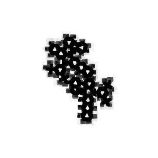 CC(C)(C)c1cc(N2c3cc4cc5ccccc5cc4cc3B3c4c(cccc42)-c2ccc(CC(C)(C)c4cc(N5c6cc7cc8ccccc8cc7cc6B6c7c5cc5ccccc5c7-c5cccc7c8ccccc8n6c57)cc(C(C)(C)C)c4)c4ccn3c24)cc(C(C)(C)C)c1